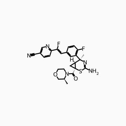 C[C@H]1COCCN1C(=O)[C@]12C[C@H]1[C@@](C)(c1cc(/C=C(\F)c3ccc(C#N)cn3)ccc1F)N=C(N)S2